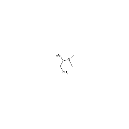 CCCC(CN)N(C)C